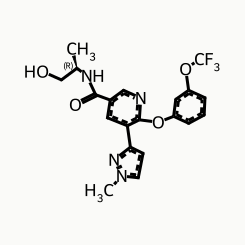 C[C@H](CO)NC(=O)c1cnc(Oc2cccc(OC(F)(F)F)c2)c(-c2ccn(C)n2)c1